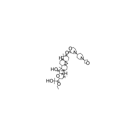 CCO[C@@H](C1C[C@@H](C)[C@H]2C(O1)[C@H](O)C1(C)C3CC[C@H]4C(C)(C)[C@@H](O[C@H]5CN(C6CCN(C7COC7)CC6)CCO5)CC[C@@]45C[C@@]35CC[C@]21C)C(C)(C)O